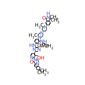 C=CC(=O)Nc1cc(Nc2nc(-c3ccnc(N4CCn5c(cc6c5CC(C)(C)C6)C4=O)c3CO)cnc2OC)ccc1N1CCN(C2CCN(c3ccc4c(c3)C(=O)NC4(C)C)[C@H](C)C2)C[C@@H]1C